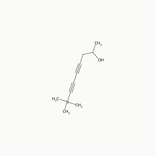 CC(O)CC#CC#C[Si](C)(C)C